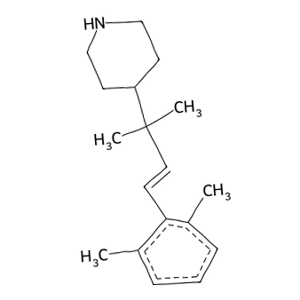 Cc1cccc(C)c1/C=C/C(C)(C)C1CCNCC1